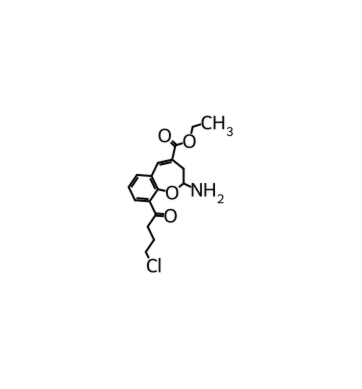 CCOC(=O)C1=Cc2cccc(C(=O)CCCCl)c2OC(N)C1